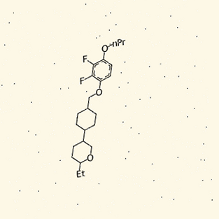 CCCOc1ccc(OCC2CCC(C3CCC(CC)OC3)CC2)c(F)c1F